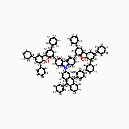 c1ccc(-c2cc(-c3ccccc3)c3oc4c(-c5ccc6c(c5)c5cc(-c7cc(-c8ccccc8)cc8c7oc7c(-c9ccccc9)cc(-c9ccccc9)cc78)ccc5n6-c5ccc6c(-c7ccccc7)c7ccccc7c(-c7ccccc7)c6c5)cc(-c5ccccc5)cc4c3c2)cc1